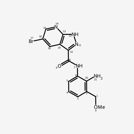 COCc1cccc(NC(=O)c2n[nH]c3ncc(Br)cc23)c1N